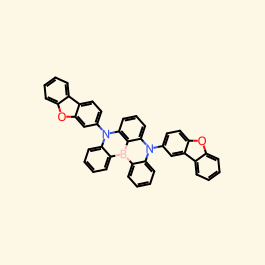 c1ccc2c(c1)B1c3ccccc3N(c3ccc4oc5ccccc5c4c3)c3cccc(c31)N2c1ccc2c(c1)oc1ccccc12